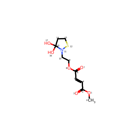 COC(=O)/C=C/C(=O)OCCN1SCCC1(O)O